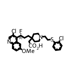 COc1ccc2ncc(Cl)c([C@H](F)CCC3(CC(=O)O)CCN(CCSc4ccccc4Cl)CC3)c2c1